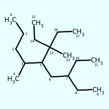 CCCC(C)C(CC(CC)CC)C(C)(CC)CC